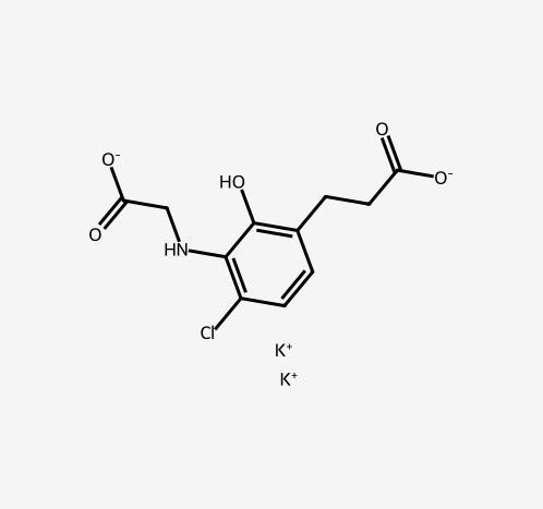 O=C([O-])CCc1ccc(Cl)c(NCC(=O)[O-])c1O.[K+].[K+]